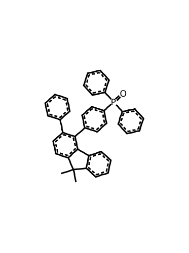 CC1(C)c2ccccc2-c2c1ccc(-c1ccccc1)c2-c1ccc(P(=O)(c2ccccc2)c2ccccc2)cc1